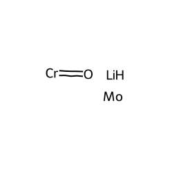 [LiH].[Mo].[O]=[Cr]